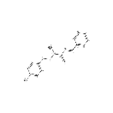 NN(CCc1ccc(O)cc1)C(=O)C=Cc1ccccc1